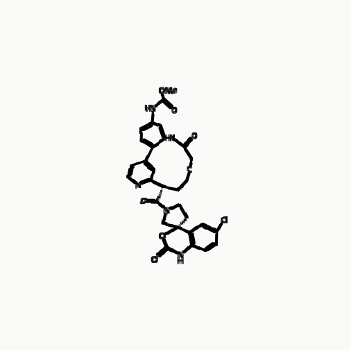 COC(=O)Nc1ccc2c(c1)NC(=O)CCCC[C@H](C(=O)N1CC[C@@]3(C1)OC(=O)Nc1ccc(Cl)cc13)c1cc-2ccn1